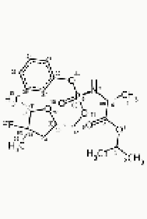 CC(C)OC(=O)[C@@H](C)N[P@](=O)(OC[C@@H]1C[C@@](C)(F)[C@H](C)O1)Oc1ccccc1